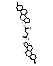 C=C1C=C2C[C@@H](C)C3C(C2CC1)[C@@H](C)C[C@@]1(C)C3CC[C@@H]1OC(=O)CCC(=O)O[C@H]1CCC2C3CCc4cc(C)ccc4C3CC[C@@]21C